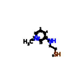 C[n+]1cccc(NCCS)c1